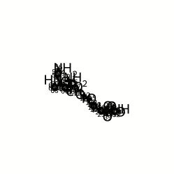 NC(=O)c1ccc(OCCOC2CN(C(=O)CC3CCN(c4ccc5c(c4)C(=O)N(C4CCC(=O)NC4=O)C5=O)CC3)C2)c(F)c1-c1cc(C(CNC2CCC(N)CC2)c2ccccc2)ccc1Cl